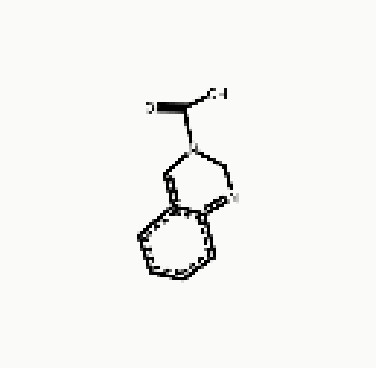 O=C(O)N1C=c2ccccc2=NC1